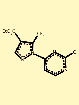 CCOC(=O)c1cnn(-c2ccnc(Cl)n2)c1C(F)(F)F